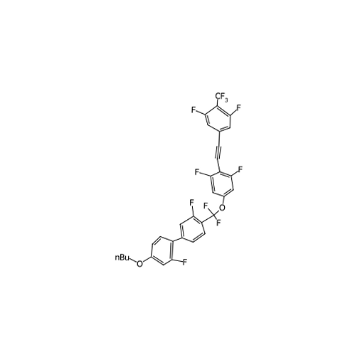 CCCCOc1ccc(-c2ccc(C(F)(F)Oc3cc(F)c(C#Cc4cc(F)c(C(F)(F)F)c(F)c4)c(F)c3)c(F)c2)c(F)c1